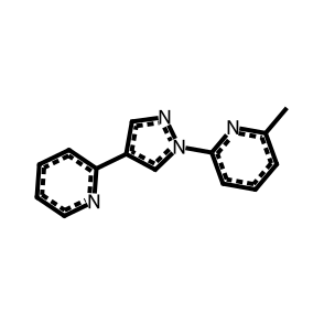 Cc1cccc(-n2cc(-c3ccccn3)cn2)n1